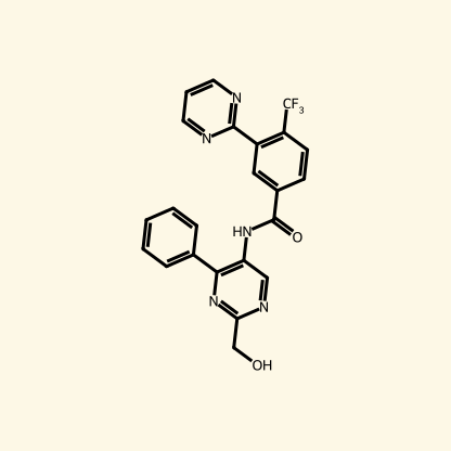 O=C(Nc1cnc(CO)nc1-c1ccccc1)c1ccc(C(F)(F)F)c(-c2ncccn2)c1